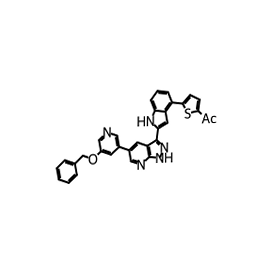 CC(=O)c1ccc(-c2cccc3[nH]c(-c4n[nH]c5ncc(-c6cncc(OCc7ccccc7)c6)cc45)cc23)s1